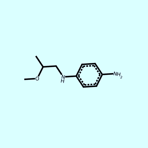 COC(C)CNc1ccc(N)cc1